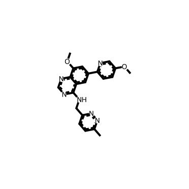 COc1ccc(-c2cc(OC)c3ncnc(NCc4ccc(C)nn4)c3c2)nc1